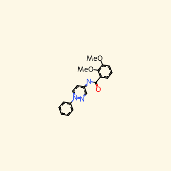 COc1cccc(C(=O)N=c2ccn(-c3ccccc3)nc2)c1OC